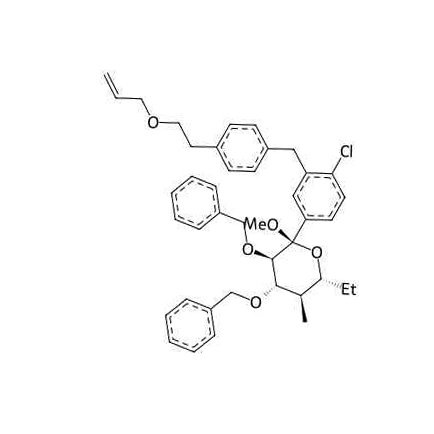 C=CCOCCc1ccc(Cc2cc([C@]3(OC)O[C@H](CC)[C@@H](C)[C@H](OCc4ccccc4)[C@H]3OCc3ccccc3)ccc2Cl)cc1